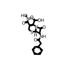 O=C(Cc1ccccc1)NC1C(=O)N2C(C(=O)O)=C(C(=O)NO)CS[C@H]12